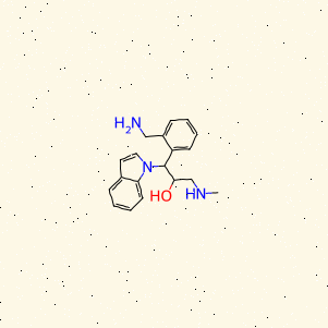 CNCC(O)C(c1ccccc1CN)n1ccc2ccccc21